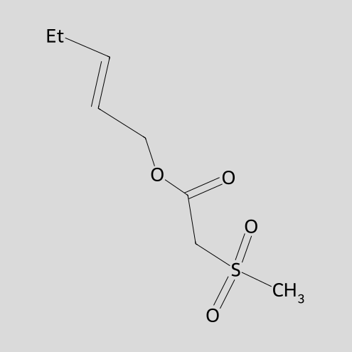 CC/C=C/COC(=O)CS(C)(=O)=O